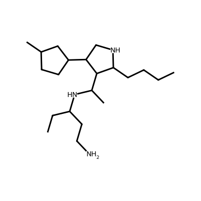 CCCCC1NCC(C2CCC(C)C2)C1C(C)NC(CC)CCN